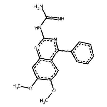 COc1cc2nc(NC(=N)N)nc(-c3ccccc3)c2cc1OC